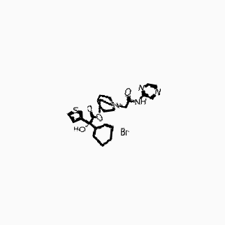 O=C(C[N+]12CCC(CC1)C(OC(=O)[C@](O)(c1ccsc1)C1CCCCC1)C2)Nc1cnccn1.[Br-]